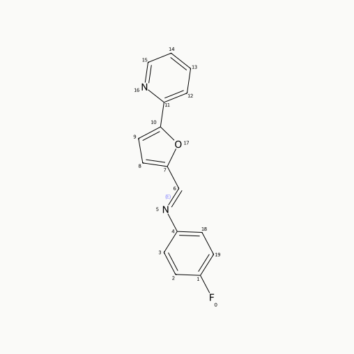 Fc1ccc(/N=C/c2ccc(-c3ccccn3)o2)cc1